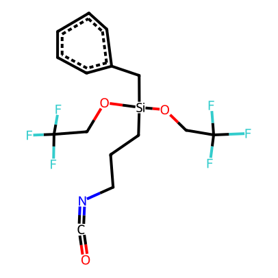 O=C=NCCC[Si](Cc1ccccc1)(OCC(F)(F)F)OCC(F)(F)F